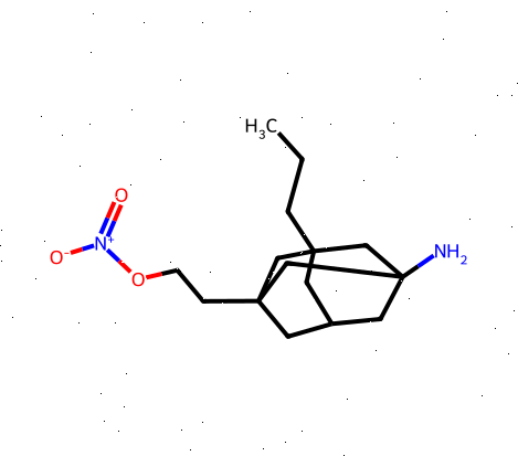 CCCC12CC3CC(N)(C1)CC(CCO[N+](=O)[O-])(C3)C2